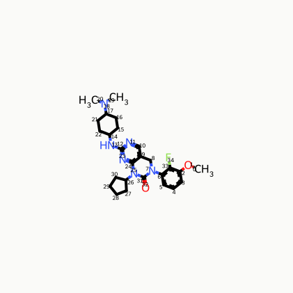 COc1cccc(N2Cc3cnc(NC4CCC(N(C)C)CC4)nc3N(C3CCCC3)C2=O)c1F